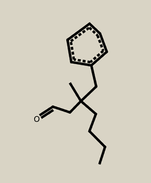 CCCCC(C)(CC=O)Cc1ccccc1